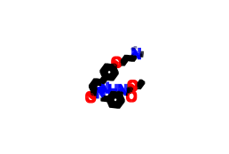 CCOC(=O)Nc1cccc(Cn2nc(-c3ccc(OCCCN(C)C)cc3)ccc2=O)c1